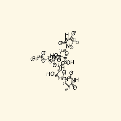 Cc1cn([C@H]2C[C@H](O)[C@@H](C(O)OP(=O)(O[C@@]3(O)C[C@H](n4cc(C)c(=O)[nH]c4=O)O[C@@H]3CO)SCOC(=O)C(C)(C)C)O2)c(=O)[nH]c1=O